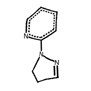 C1=NN(c2ccccn2)CC1